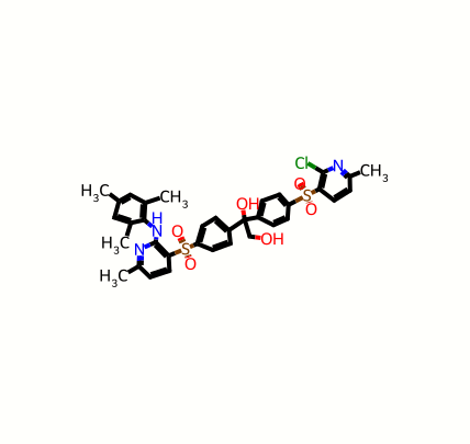 Cc1cc(C)c(Nc2nc(C)ccc2S(=O)(=O)c2ccc(C(O)(CO)c3ccc(S(=O)(=O)c4ccc(C)nc4Cl)cc3)cc2)c(C)c1